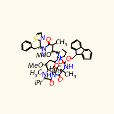 CC[C@H](C)[C@@H]([C@@H](CC(=O)N1CCC[C@H]1[C@H](OC)C(C)C(=O)N[C@@H](Cc1ccccc1)c1nccs1)OC)N(C)[C@H](C(=O)NC(=O)C(C)(C)NC(=O)OCC1c2ccccc2-c2ccccc21)C(C)C